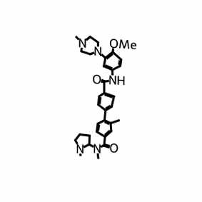 COc1ccc(NC(=O)c2ccc(-c3ccc(C(=O)N(C)C4CCCN4C)cc3C)cc2)cc1N1CCN(C)CC1